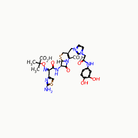 CC(C)(O/N=C(\C(=O)N[C@@H]1C(=O)N2C(C(=O)O)=C(C[n+]3ccn(CC(=O)Nc4ccc(O)c(O)c4)c3)CS[C@H]12)c1csc(N)n1)C(=O)O